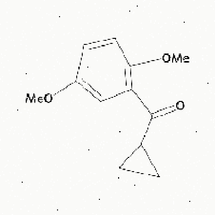 COc1ccc(OC)c(C(=O)C2CC2)c1